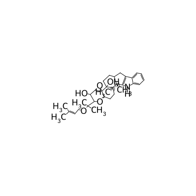 CC(C)=CCOC(C)(C)C1OC2CC[C@@]3(C)C(O)(CCC4Cc5c([nH]c6ccccc56)[C@@]43C)C23OC3C1O